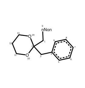 CCCCCCCCCCC1(Cc2ccccc2)OCCCO1